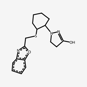 OC1=NN(C2CCCCC2SCc2nc3ccccc3o2)CC1